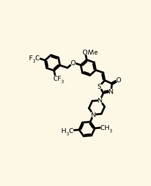 COc1cc(/C=C2\SC(N3CCN(c4cc(C)ccc4C)CC3)=NC2=O)ccc1OCc1ccc(C(F)(F)F)cc1C(F)(F)F